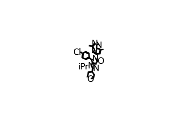 Cc1cc(N2C(=O)c3nc(C4CCOCC4)n(C(C)C)c3C2c2ccc(Cl)cc2)cn2c(C)nnc12